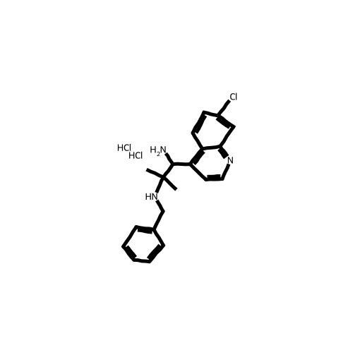 CC(C)(NCc1ccccc1)C(N)c1ccnc2cc(Cl)ccc12.Cl.Cl